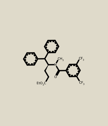 CCOC(=O)CC[C@@H](C(c1ccccc1)c1ccccc1)N(C)C(=O)c1cc(C(F)(F)F)cc(C(F)(F)F)c1